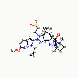 CCOc1ccc2cc(-c3nc4cc(C(=O)N5C[C@H]6CC[C@@H]5[C@@H]6N)cc(OC)c4n3CC[S@@+](C)[O-])n(CC3CC3)c2n1